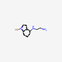 NCCNc1cccc2c1ccn2S